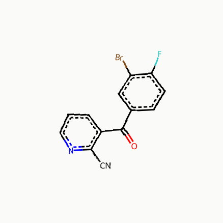 N#Cc1ncccc1C(=O)c1ccc(F)c(Br)c1